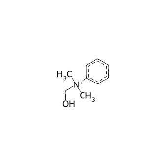 C[N+](C)(CO)c1ccccc1